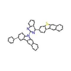 c1ccc(-c2ccc3c(c2)c2cc4ccccc4cc2n3-c2nc(-c3ccc4c(c3)sc3cc5ccccc5cc34)c3ccccc3n2)cc1